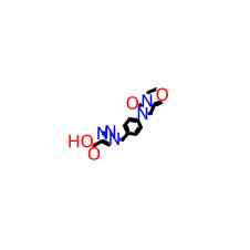 O=C(O)c1cn(Cc2ccc(N3CC4=COCCN4C3=O)cc2)nn1